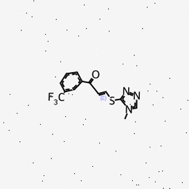 Cn1cnnc1S/C=C/C(=O)c1cccc(C(F)(F)F)c1